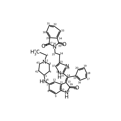 CCN1CCC(Nc2ccc3c(c2)C(=C(c2ccccc2)c2nc(CCN4C(=O)c5ccccc5C4=O)c[nH]2)C(=O)N3)CC1